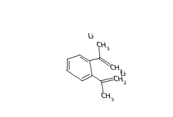 C=C(C)c1ccccc1C(=C)C.[Li].[Li]